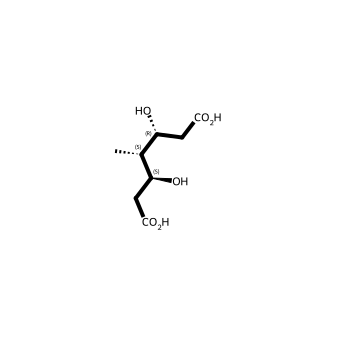 C[C@H]([C@H](O)CC(=O)O)[C@@H](O)CC(=O)O